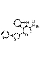 CCN(CC)C(=O)c1[nH]c2ccccc2c1C(=O)C1CSN(c2cccnc2)C1